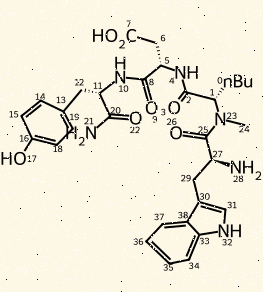 CCCC[C@@H](C(=O)N[C@@H](CC(=O)O)C(=O)N[C@@H](Cc1ccc(O)cc1)C(N)=O)N(C)C(=O)[C@@H](N)Cc1c[nH]c2ccccc12